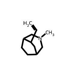 C=CC1CC2CCC1CN(C)C2